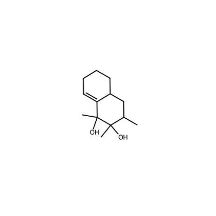 CC1CC2CCCC=C2C(C)(O)C1(C)O